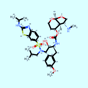 CN[C@H]1CO[C@@H]2OCC[C@H](OC(=O)N[C@@H](Cc3cccc(OC)c3)[C@H](O)CN(CC(C)C)S(=O)(=O)c3ccc4nc(NC(C)C)sc4c3)[C@@H]21